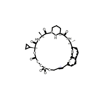 C[C@@H]1NC(=O)[C@H](C2CC2)OC(=O)CCS(=O)(=O)CC/C=C/c2ccc3ccc(nc3c2)[C@@H](C)NC(=O)[C@@H]2CCCN(N2)C1=O